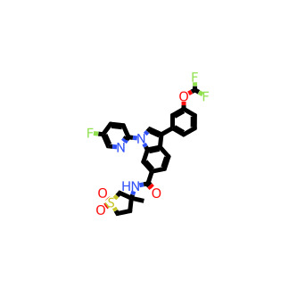 CC1(NC(=O)c2ccc3c(-c4cccc(OC(F)F)c4)cn(-c4ccc(F)cn4)c3c2)CCS(=O)(=O)C1